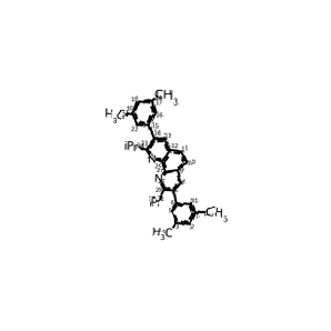 Cc1cc(C)cc(-c2cc3ccc4cc(-c5cc(C)cc(C)c5)c(C(C)C)nc4c3nc2C(C)C)c1